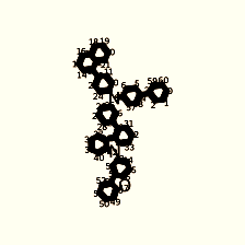 c1ccc(-c2ccc(N(c3ccc(-c4cccc5ccccc45)cc3)c3cccc(-c4cccc5c4c4ccccc4n5-c4ccc5oc6ccccc6c5c4)c3)cc2)cc1